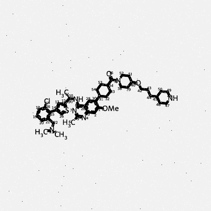 COc1cc2nc(C)nc(N[C@H](C)c3cc(-c4c(Cl)cccc4CN(C)C)cs3)c2cc1C1CCC(C(=O)N2CCC(OCCCC3CCNCC3)CC2)CC1